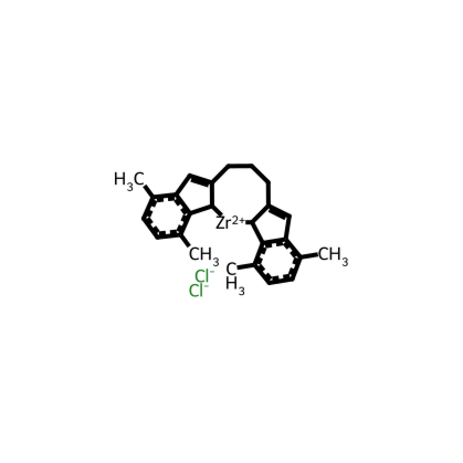 Cc1ccc(C)c2c1C=C1CCCC3=Cc4c(C)ccc(C)c4[CH]3[Zr+2][CH]12.[Cl-].[Cl-]